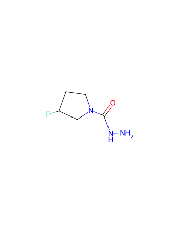 NNC(=O)N1CCC(F)C1